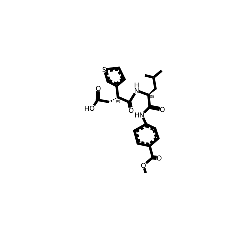 COC(=O)c1ccc(NC(=O)[C@H](CC(C)C)NC(=O)[C@H](CC(=O)O)c2ccsc2)cc1